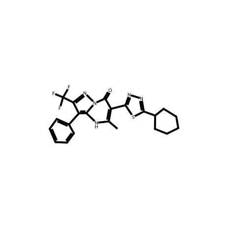 Cc1[nH]c2c(-c3ccccc3)c(C(F)(F)F)nn2c(=O)c1-c1nnc(C2CCCCC2)s1